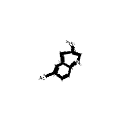 [2H]c1cnc2ccc(C(C)=O)cc2c1